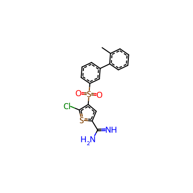 Cc1ccccc1-c1cccc(S(=O)(=O)c2cc(C(=N)N)sc2Cl)c1